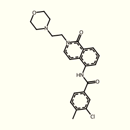 Cc1ccc(C(=O)Nc2cccc3c(=O)n(CCN4CCOCC4)ccc23)cc1Cl